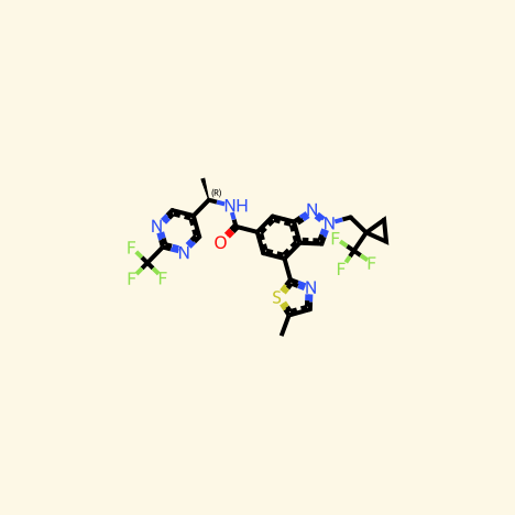 Cc1cnc(-c2cc(C(=O)N[C@H](C)c3cnc(C(F)(F)F)nc3)cc3nn(CC4(C(F)(F)F)CC4)cc23)s1